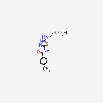 O=C(O)CCNc1nnc(NC(=O)c2ccc(C(F)(F)F)cc2)s1